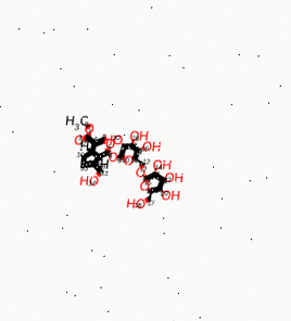 COC(=O)C1=CO[C@@H](O[C@@H]2O[C@H](CO[C@@H]3O[C@H](CO)[C@@H](O)[C@H](O)[C@H]3O)[C@@H](O)[C@H](O)[C@H]2O)[C@@H]2C(CO)=CC[C@H]12